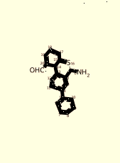 NCc1cc(-c2ccccc2)ccc1C1C(=S)C=CC=C1C=O